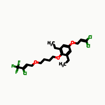 CCc1cc(OCC=C(Cl)Cl)cc(CC)c1OCCCCOCC=C(Cl)C(F)(F)F